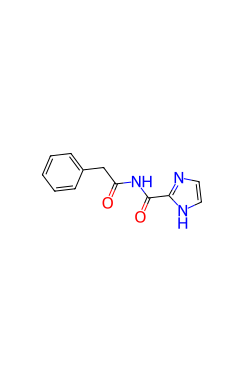 O=C(Cc1ccccc1)NC(=O)c1ncc[nH]1